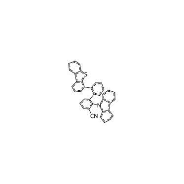 N#Cc1cccc(-c2ccccc2-c2cccc3c2sc2ccccc23)c1-n1c2ccccc2c2ccccc21